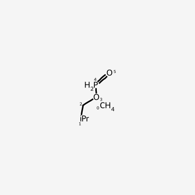 C.CC(C)CO[PH2]=O